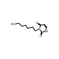 CC(=O)OCCCCCCn1c(=O)cc[nH]c1=O